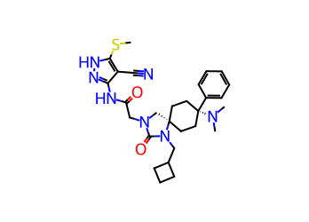 CSc1[nH]nc(NC(=O)CN2C[C@]3(CC[C@@](c4ccccc4)(N(C)C)CC3)N(CC3CCC3)C2=O)c1C#N